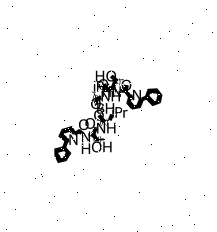 CC(C)C[C@H](NC(=O)[C@@H](NC(=O)c1cccc(-c2ccccc2)n1)[C@@H](C)O)OBO[C@H](CC(C)C)NC(=O)[C@@H](NC(=O)c1cccc(-c2ccccc2)n1)[C@@H](C)O